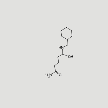 NC(=O)CCCC(O)NCC1CCCCC1